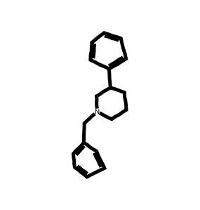 c1ccc(CN2CCCC(c3ccccc3)C2)cc1